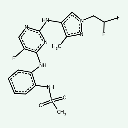 Cc1nn(CC(F)F)cc1Nc1ncc(F)c(Nc2ccccc2NS(C)(=O)=O)n1